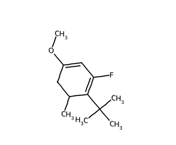 COC1=CC(F)=C(C(C)(C)C)C(C)C1